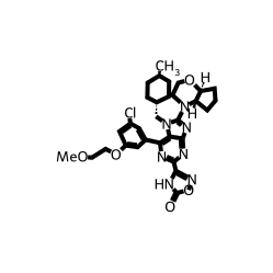 COCCOc1cc(Cl)cc(-c2nc(-c3noc(=O)[nH]3)nc3nc(N4CCO[C@H]5CCC[C@@H]54)n(C[C@H]4CC[C@H](C)CC4)c23)c1